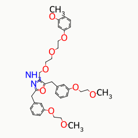 COCCOc1cccc(Cc2nc(COCCOCCOc3cccc(OC)c3)c(Cc3cccc(OCCOC)c3)o2)c1.N